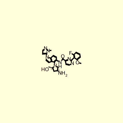 COc1cccc(F)c1-c1nccc(C(=O)Nc2ccc3c(ccn3-c3ccnn3C)c2N2C[C@@H](N)C[C@H]2CO)n1